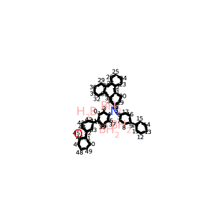 Bc1c(B)c(N(c2ccc(-c3ccccc3)cc2)c2ccc3c4ccccc4c4ccccc4c3c2)c(B)c(B)c1-c1ccc2oc3ccccc3c2c1